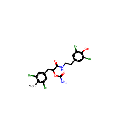 COc1c(Br)cc(CC(OC(N)=O)C(=O)NCCc2cc(Br)c(O)c(Br)c2)cc1Br